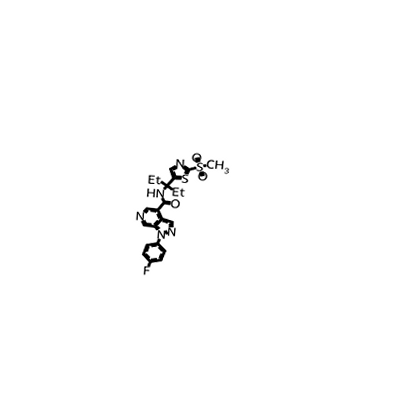 CCC(CC)(NC(=O)c1cncc2c1cnn2-c1ccc(F)cc1)c1cnc(S(C)(=O)=O)s1